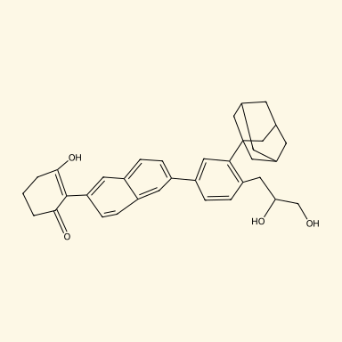 O=C1CCCC(O)=C1c1ccc2cc(-c3ccc(CC(O)CO)c(C45CC6CC(CC(C6)C4)C5)c3)ccc2c1